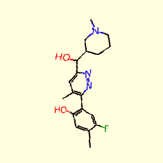 Cc1cc(O)c(-c2nnc(C(O)[C@@H]3CCCN(C)C3)cc2C)cc1F